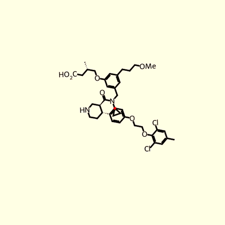 COCCCc1cc(CN(C(=O)[C@@H]2CNCC[C@H]2c2ccc(OCCOc3c(Cl)cc(C)cc3Cl)cc2)C2CC2)cc(OC[C@@H](C)CC(=O)O)c1